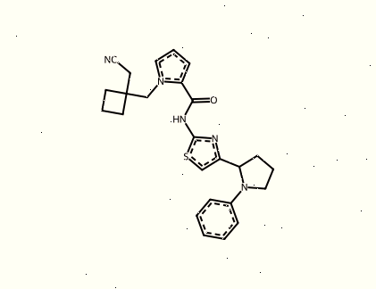 N#CCC1(Cn2cccc2C(=O)Nc2nc(C3CCCN3c3ccccc3)cs2)CCC1